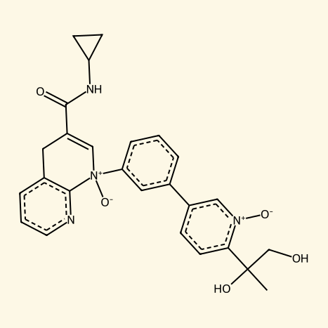 CC(O)(CO)c1ccc(-c2cccc([N+]3([O-])C=C(C(=O)NC4CC4)Cc4cccnc43)c2)c[n+]1[O-]